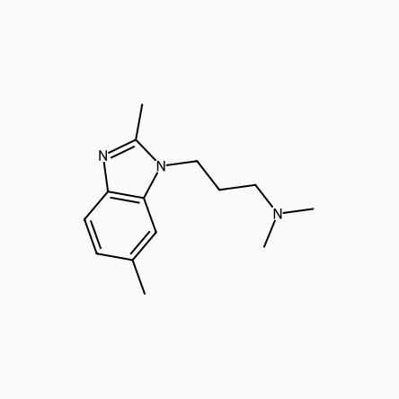 Cc1ccc2nc(C)n(CCCN(C)C)c2c1